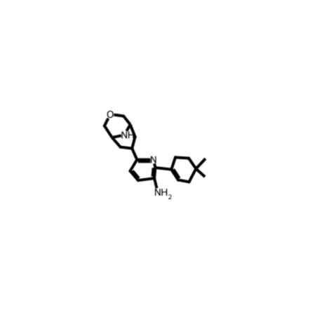 CC1(C)CC=C(c2nc(C3CC4COCC(C3)N4)ccc2N)CC1